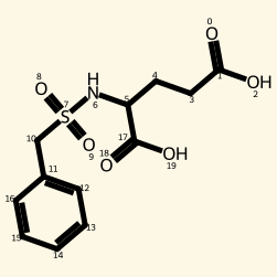 O=C(O)CCC(NS(=O)(=O)Cc1ccccc1)C(=O)O